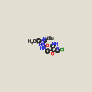 Cc1ccc(-n2nc(C(C)(C)C)cc2NC(=O)Nc2cccc(C(C(=O)c3ccc(Cl)nc3)C3CCNCC3)c2)cc1